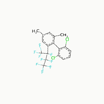 Cc1[c]c(C)c(-c2c(Cl)cccc2Cl)c(C(F)(C(F)(F)F)C(F)(F)C(F)(F)F)c1